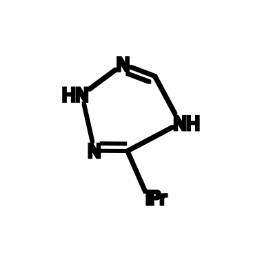 CC(C)C1=NNN=CN1